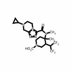 CN(C(=O)c1nnc2n1CCN(C1CC1)C2)C1(C)CCN(C(=O)O)CC1C(C(F)(F)F)C(F)(F)F